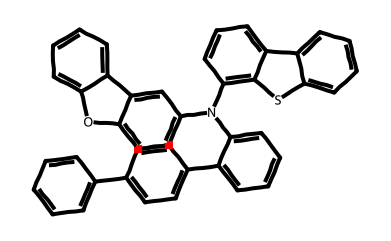 c1ccc(-c2ccc(-c3ccccc3N(c3ccc4oc5ccccc5c4c3)c3cccc4c3sc3ccccc34)cc2)cc1